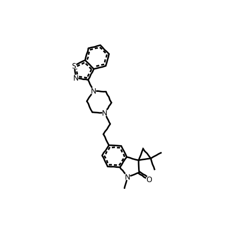 CN1C(=O)C2(CC2(C)C)c2cc(CCN3CCN(c4nsc5ccccc45)CC3)ccc21